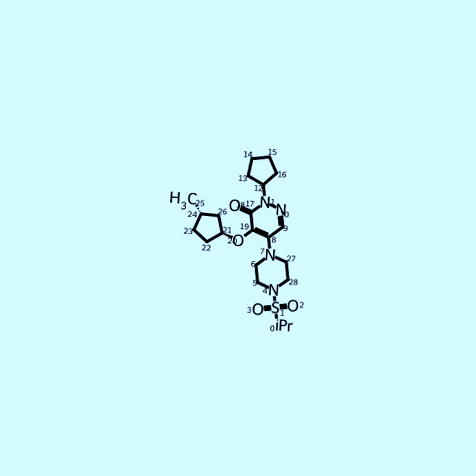 CC(C)S(=O)(=O)N1CCN(c2cnn(C3CCCC3)c(=O)c2O[C@H]2CC[C@H](C)C2)CC1